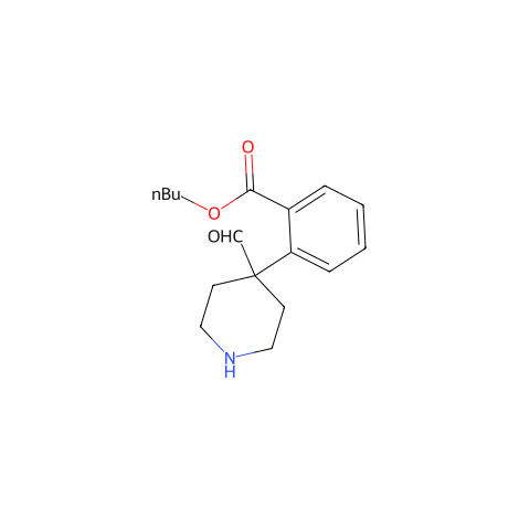 CCCCOC(=O)c1ccccc1C1(C=O)CCNCC1